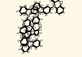 c1ccc2c(c1)Oc1ccccc1N2c1ccc2c(c1)c1ccccc1n2-c1ccc2c(c1)Oc1cccc(-n3c4ccccc4c4ccccc43)c1C21c2cc(-n3c4ccccc4c4ccccc43)cnc2-c2ncc(-n3c4ccccc4c4ccccc43)cc21